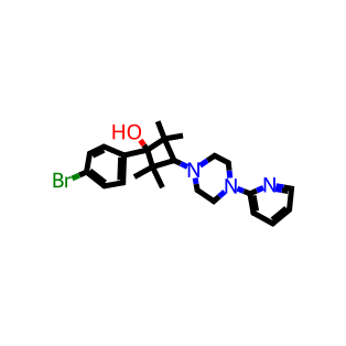 CC1(C)C(N2CCN(c3ccccn3)CC2)C(C)(C)C1(O)c1ccc(Br)cc1